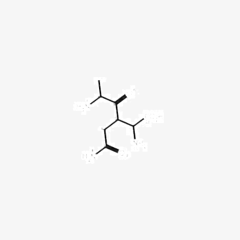 CC(N)C(=O)C(CC(N)=O)C(N)C(=O)O